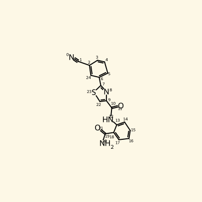 N#Cc1cccc(-c2nc(C(=O)Nc3ccccc3C(N)=O)cs2)c1